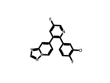 Fc1cnc(-c2ccc(F)c(Cl)c2)c(-c2ccn3ncnc3c2)c1